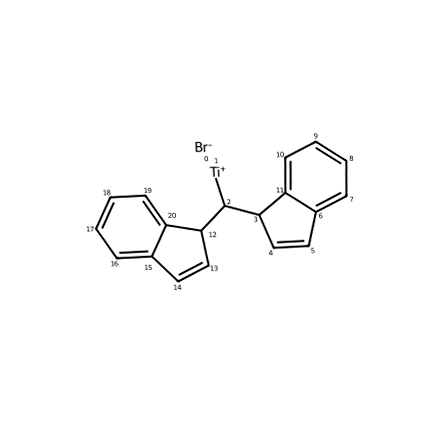 [Br-].[Ti+][CH](C1C=Cc2ccccc21)C1C=Cc2ccccc21